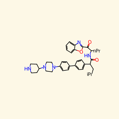 CCCC(NC(=O)C(CC(C)C)c1ccc(-c2ccc(N3CCN(C4CCNCC4)CC3)cc2)cc1)C(=O)c1nc2ccccc2o1